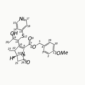 COc1ccc(COC(=O)C2=C(C(Sc3ccncc3)C(C)O)C(C)[C@H]3CC(=O)N23)cc1